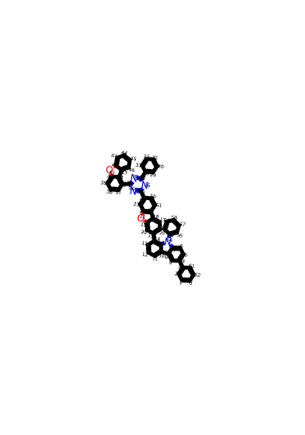 c1ccc(-c2ccc3c(c2)c2cccc(-c4ccc5c(c4)oc4cc(-c6nc(-c7ccccc7)nc(-c7cccc8oc9ccccc9c78)n6)ccc45)c2n3-c2ccccc2)cc1